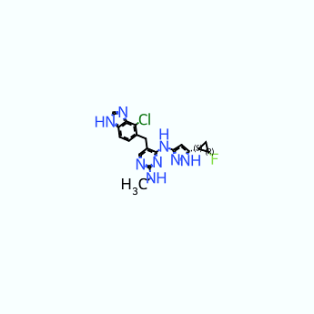 CNc1ncc(Cc2ccc3[nH]cnc3c2Cl)c(Nc2cc([C@@H]3C[C@H]3F)[nH]n2)n1